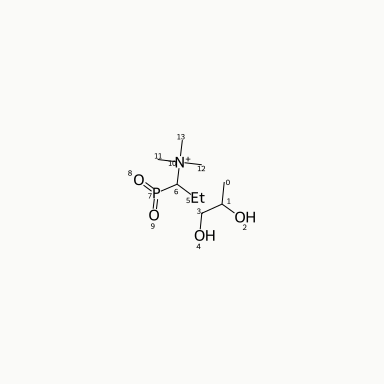 CC(O)CO.CCC(P(=O)=O)[N+](C)(C)C